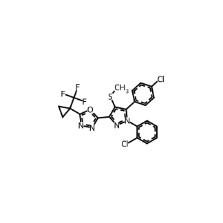 CSc1c(-c2nnc(C3(C(F)(F)F)CC3)o2)nn(-c2ccccc2Cl)c1-c1ccc(Cl)cc1